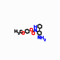 COc1ccc(OC(=O)Nc2cc(N)ccc2-c2ccccc2)cc1